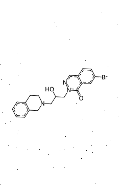 O=c1c2cc(Br)ccc2cnn1CC(O)CN1CCc2ccccc2C1